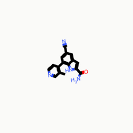 Cc1cnccc1-c1cc(C#N)cc2cc(C(N)=O)[nH]c12